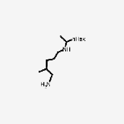 CCCCCCC(C)NCCCC(C)CN